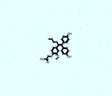 CCCCC(=C(c1ccc(O)cc1)c1ccc(O)cc1)c1ccc(OCC(=O)O)c(OC)c1